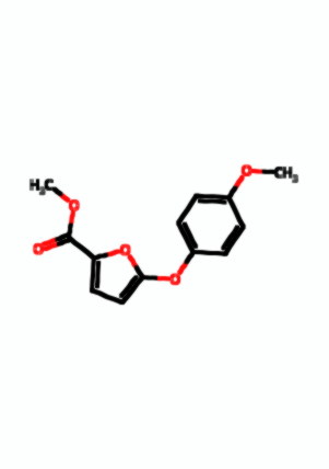 COC(=O)c1ccc(Oc2ccc(OC)cc2)o1